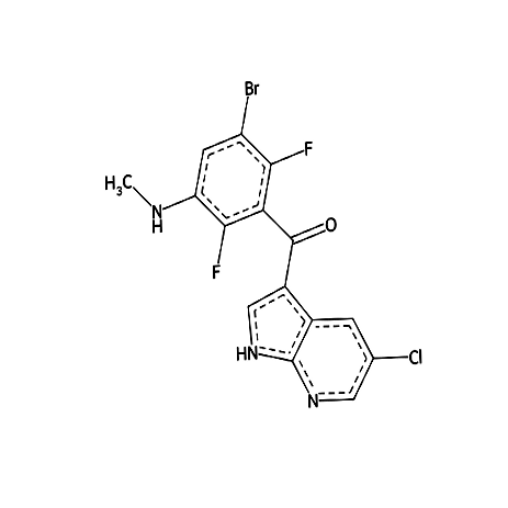 CNc1cc(Br)c(F)c(C(=O)c2c[nH]c3ncc(Cl)cc23)c1F